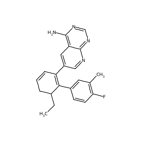 CCC1CC=CC(c2cnc3ncnc(N)c3c2)=C1c1ccc(F)c(C)c1